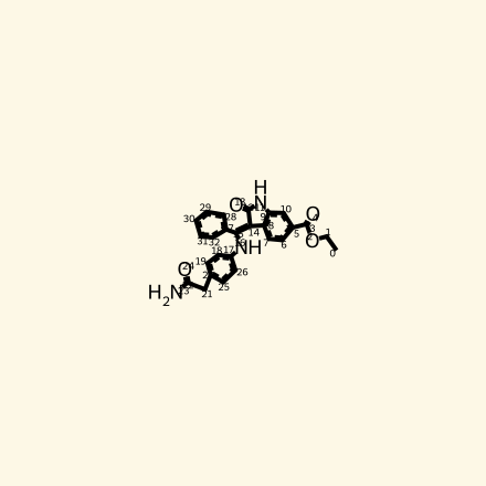 CCOC(=O)c1ccc2c(c1)NC(=O)C2=C(Nc1ccc(CC(N)=O)cc1)c1ccccc1